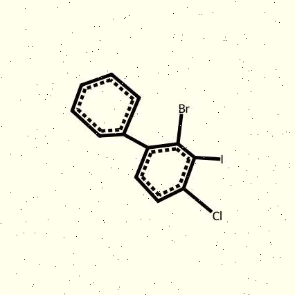 Clc1ccc(-c2ccccc2)c(Br)c1I